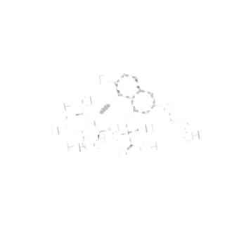 COCOc1cc(CC(C)(C)C(=O)O)c2c(C#C[Si](C(C)C)(C(C)C)C(C)C)c(F)ccc2c1